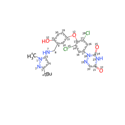 Cn1nc(C(C)(C)C)cc1NCc1cc(Oc2c(Cl)cc(-n3ncc(=O)[nH]c3=O)cc2Cl)ccc1O